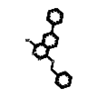 N#Cc1nnc(OCc2ccccc2)c2ccc(-c3ccccc3)cc12